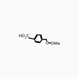 COOCc1ccc(CC(=O)O)cc1